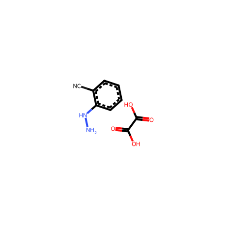 N#Cc1ccccc1NN.O=C(O)C(=O)O